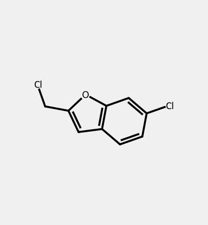 ClCc1cc2ccc(Cl)cc2o1